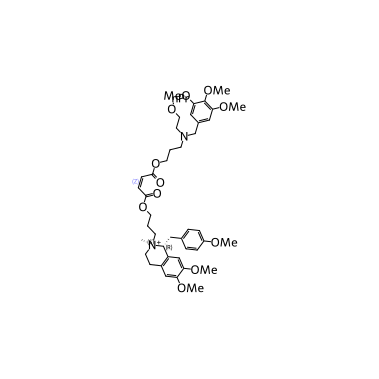 CCCOCCN(CCCOC(=O)/C=C\C(=O)OCCC[N@+]1(C)CCc2cc(OC)c(OC)cc2[C@H]1Cc1ccc(OC)cc1)Cc1cc(OC)c(OC)c(OC)c1